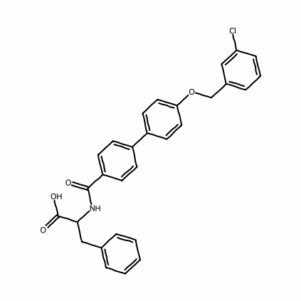 O=C(NC(Cc1ccccc1)C(=O)O)c1ccc(-c2ccc(OCc3cccc(Cl)c3)cc2)cc1